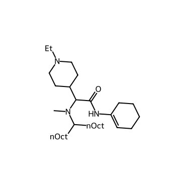 CCCCCCCCC(CCCCCCCC)N(C)C(C(=O)NC1=CCCCC1)C1CCN(CC)CC1